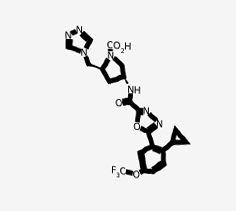 O=C(N[C@@H]1C[C@@H](Cn2cnnc2)N(C(=O)O)C1)c1nnc(-c2cc(OC(F)(F)F)ccc2C2CC2)o1